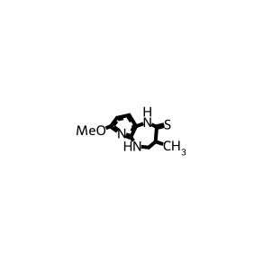 COc1ccc2c(n1)NCC(C)C(=S)N2